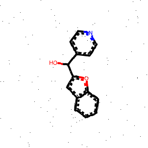 OC(c1ccncc1)c1cc2ccccc2o1